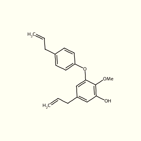 C=CCc1ccc(Oc2cc(CC=C)cc(O)c2OC)cc1